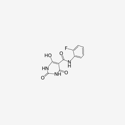 O=C(Nc1ccccc1F)c1c(O)[nH]c(=O)[nH]c1=O